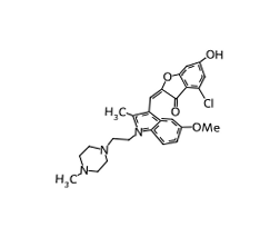 COc1ccc2c(c1)c(C=C1Oc3cc(O)cc(Cl)c3C1=O)c(C)n2CCN1CCN(C)CC1